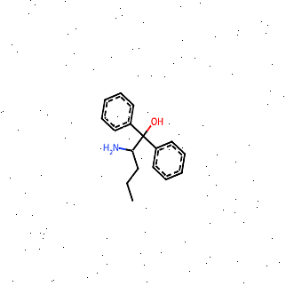 CCCC(N)C(O)(c1ccccc1)c1ccccc1